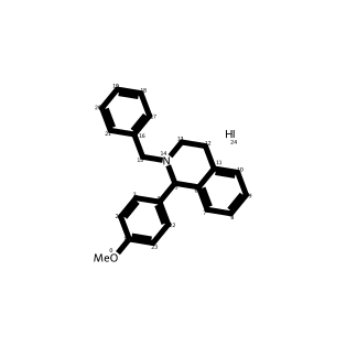 COc1ccc(C2c3ccccc3CCN2Cc2ccccc2)cc1.I